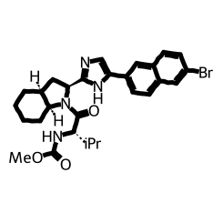 COC(=O)N[C@H](C(=O)N1[C@H](c2ncc(-c3ccc4cc(Br)ccc4c3)[nH]2)C[C@@H]2CCCC[C@@H]21)C(C)C